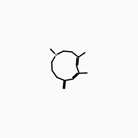 C=C1/C=C(C)\C=C(/C)CCN(C)CCC1